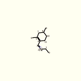 CC/N=C\C1=C(C)CC(C)CC1